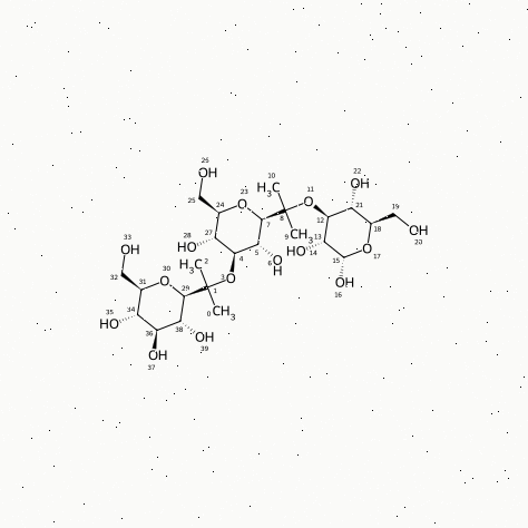 CC(C)(O[C@@H]1[C@@H](O)[C@H](C(C)(C)O[C@@H]2[C@@H](O)[C@@H](O)O[C@H](CO)[C@H]2O)O[C@H](CO)[C@H]1O)[C@@H]1O[C@H](CO)[C@@H](O)[C@H](O)[C@H]1O